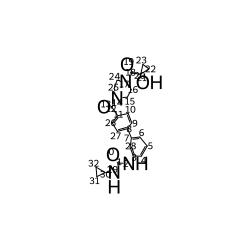 O=C(Nc1cccc(-c2ccc(C(=O)N3CCN(C(=O)C4(O)CC4)CC3)cc2)c1)NC1CC1